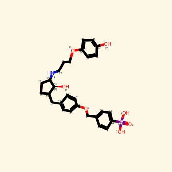 O=P(O)(O)c1ccc(COc2ccc(CC3CCC(NCCCOc4ccc(O)cc4)[C@H]3O)cc2)cc1